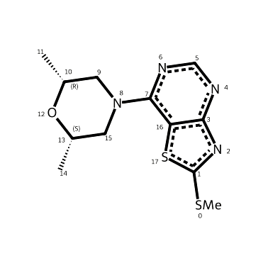 CSc1nc2ncnc(N3C[C@@H](C)O[C@@H](C)C3)c2s1